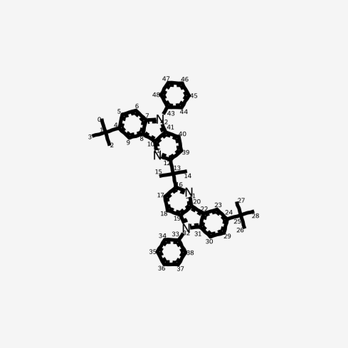 CC(C)(C)c1ccc2c(c1)c1nc(C(C)(C)c3ccc4c(n3)c3cc(C(C)(C)C)ccc3n4-c3ccccc3)ccc1n2-c1ccccc1